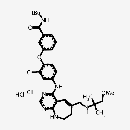 COCC(C)(C)NCC1=Cc2c(ncnc2Nc2ccc(Oc3cccc(C(=O)NC(C)(C)C)c3)c(Cl)c2)NCC1.Cl.Cl